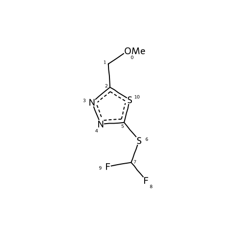 COCc1nnc(SC(F)F)s1